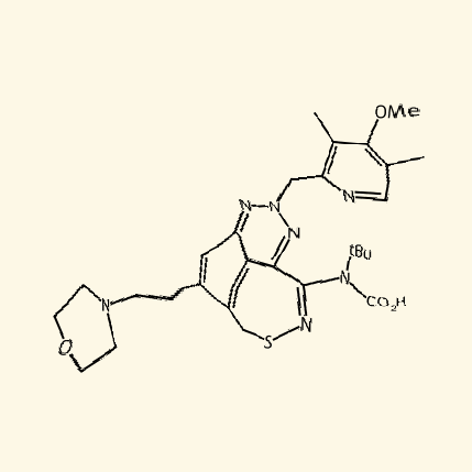 COc1c(C)cnc(Cn2nc3cc(CCN4CCOCC4)c4c-3c(n2)C(N(C(=O)O)C(C)(C)C)=NSC4)c1C